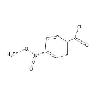 CO[N+](=O)c1ccc(C(=O)Cl)cc1